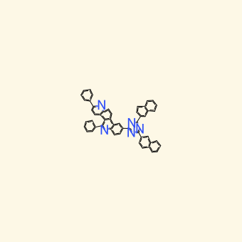 c1ccc(-c2ccc3c(ccc4c5cc(-c6nc(-c7ccc8ccccc8c7)nc(-c7ccc8ccccc8c7)n6)ccc5nc(-c5ccccc5)c34)n2)cc1